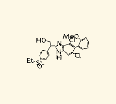 CC[S+]([O-])c1ccc(C(CO)c2nc3c(Cl)c(-c4ccccc4OC)c(Cl)cc3[nH]2)cc1